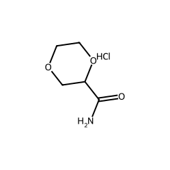 Cl.NC(=O)C1COCCO1